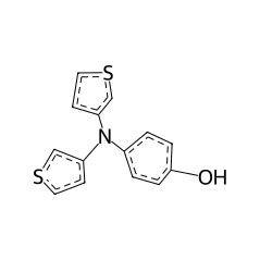 Oc1ccc(N(c2ccsc2)c2ccsc2)cc1